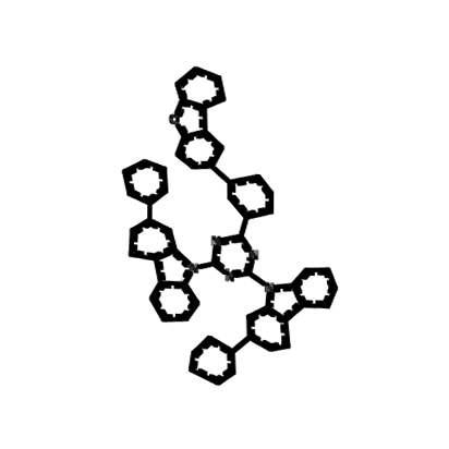 c1ccc(-c2ccc3c4ccccc4n(-c4nc(-c5cccc(-c6ccc7oc8ccccc8c7c6)c5)nc(-n5c6ccccc6c6ccc(-c7ccccc7)cc65)n4)c3c2)cc1